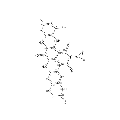 Cc1c(=O)n(C)c(Nc2ccc(I)cc2F)c2c(=O)n(C3CC3)c(=O)n(-c3ccc4c(c3)NC(=O)CO4)c12